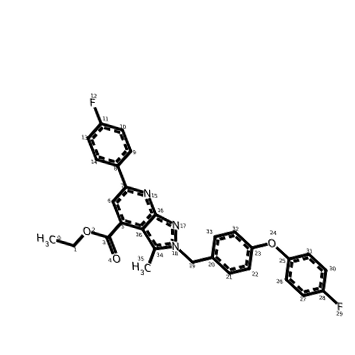 CCOC(=O)c1cc(-c2ccc(F)cc2)nc2nn(Cc3ccc(Oc4ccc(F)cc4)cc3)c(C)c12